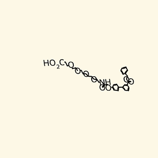 O=C(O)CCOCCOCCOCCOCCNC(=O)COc1ccc(-c2cccc(C(=O)OCc3ccccc3)c2)cc1